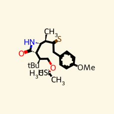 COc1ccc(CC(=S)[C@H](C)[C@H]2NC(=O)[C@H]2[C@@H](CO[SiH](C)C)C(C)(C)C)cc1